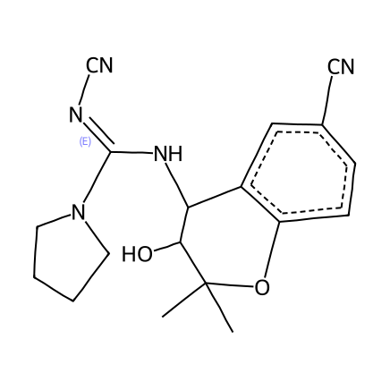 CC1(C)Oc2ccc(C#N)cc2C(N/C(=N\C#N)N2CCCC2)C1O